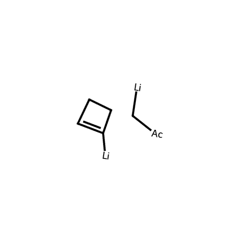 [Li][CH2]C(C)=O.[Li][C]1=CCC1